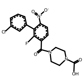 O=C(O)N1CCN(C(=O)c2ccc([N+](=O)[O-])c(-c3cccc(Cl)c3)c2F)CC1